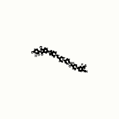 N#Cc1ccc(N2CCC(C(=O)Nc3ccc(N4CCC(CCN5CCC6(CC5)CN(c5ccc7c(c5)C(=O)N(C5CCC(=O)NC5=O)C7=O)C6)CC4)cn3)CC2)cc1C(F)(F)F